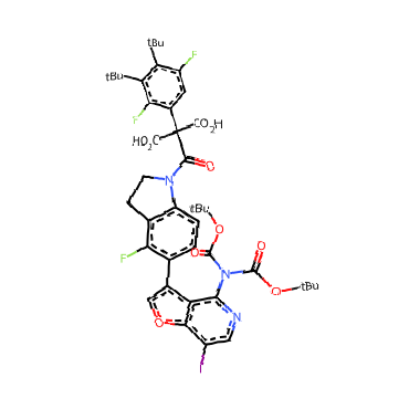 CC(C)(C)OC(=O)N(C(=O)OC(C)(C)C)c1ncc(I)c2occ(-c3ccc4c(c3F)CCN4C(=O)C(C(=O)O)(C(=O)O)c3cc(F)c(C(C)(C)C)c(C(C)(C)C)c3F)c12